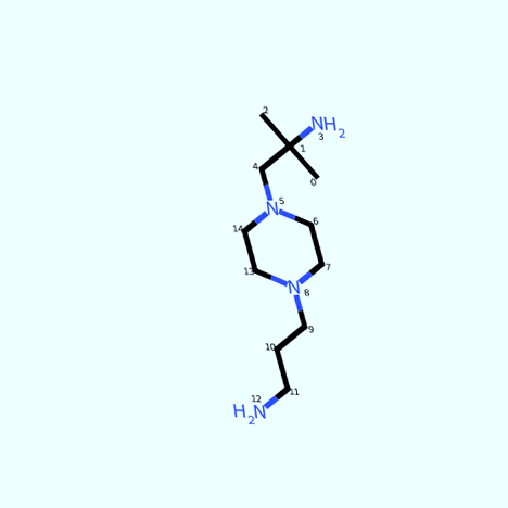 CC(C)(N)CN1CCN(CCCN)CC1